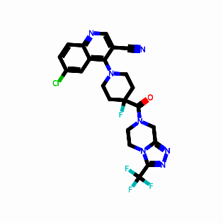 N#Cc1cnc2ccc(Cl)cc2c1N1CCC(F)(C(=O)N2CCn3c(nnc3C(F)(F)F)C2)CC1